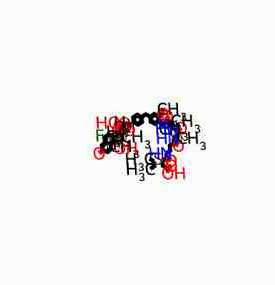 CCC(C)SC(CC(=O)O)C(=O)NCCC(=O)N[C@@H](C)C(=O)N[C@@H](C)C(=O)N(C)c1ccc(Cc2ccc([C@@H]3O[C@@H]4CC5[C@@H]6C[C@H](F)C7=CC(=O)C=C[C@]7(C)[C@@]6(F)[C@@H](O)C[C@]5(C)[C@]4(C(=O)CO)O3)cc2)cc1OC